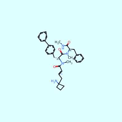 CNC(=O)[C@@H](Cc1ccccc1)N(C)C(=O)[C@@H](Cc1ccc(-c2ccccc2)cc1)N(C)C(=O)/C=C/CC1(N)CCC1